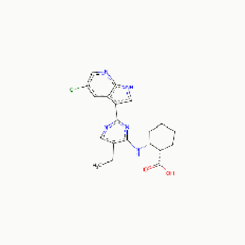 CCc1cnc(-c2c[nH]c3ncc(Cl)cc23)nc1N[C@@H]1CCCC[C@@H]1C(=O)O